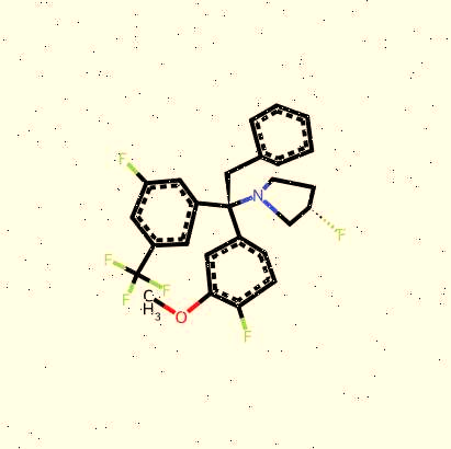 COc1cc([C@](Cc2ccccc2)(c2cc(F)cc(C(F)(F)F)c2)N2CC[C@H](F)C2)ccc1F